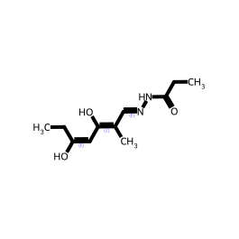 CCC(=O)N/N=C/C(C)=C(O)/C=C(/O)CC